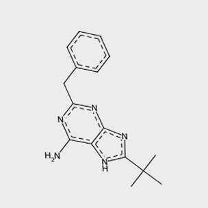 CC(C)(C)c1nc2nc(Cc3ccccc3)nc(N)c2[nH]1